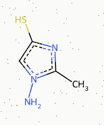 Cc1nc(S)cn1N